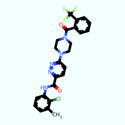 Cc1cccc(NC(=O)c2ccc(N3CCN(C(=O)c4ccccc4C(F)(F)F)CC3)nn2)c1Cl